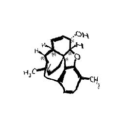 Cc1ccc2c3c1O[C@H]1[C@@H](O)C=C[C@H]4[C@@H](C2)N(C)CC[C@@]341